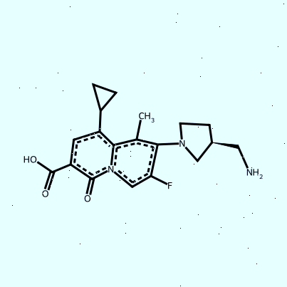 Cc1c(N2CC[C@@H](CN)C2)c(F)cn2c(=O)c(C(=O)O)cc(C3CC3)c12